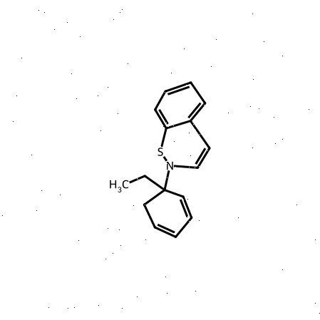 CCC1(N2C=Cc3ccccc3S2)C=CC=CC1